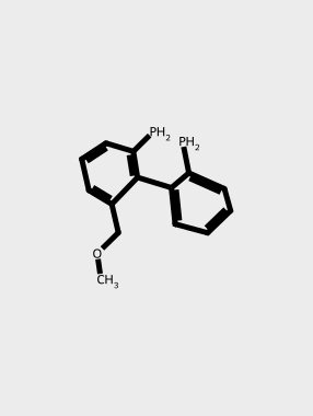 COCc1cccc(P)c1-c1ccccc1P